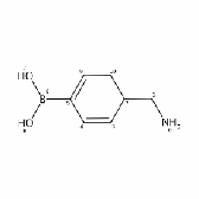 NCC1C=CC(B(O)O)=CC1